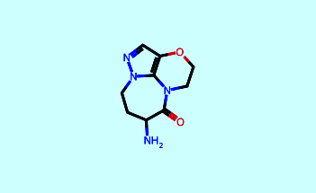 NC1CCn2ncc3c2N(CCO3)C1=O